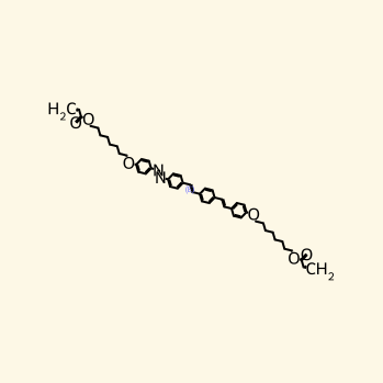 C=CC(=O)OCCCCCCCCOc1ccc(C=Cc2ccc(/C=C/c3ccc(N=Nc4ccc(OCCCCCCCCOC(=O)C=C)cc4)cc3)cc2)cc1